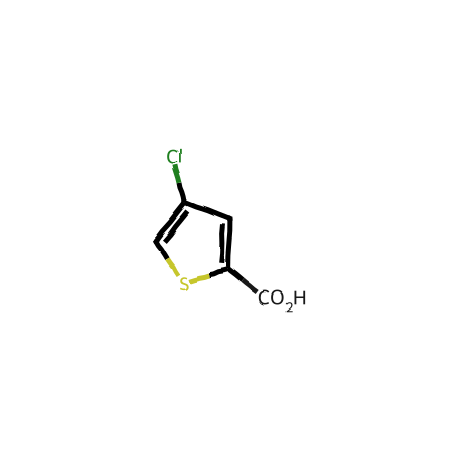 O=C(O)c1cc(Cl)cs1